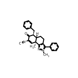 [C-]#[N+]C1=C[C@]2(C)c3nn(C)c(-c4ccccc4)c3CC[C@H]2[C@H](Cc2ccccc2)C1=O